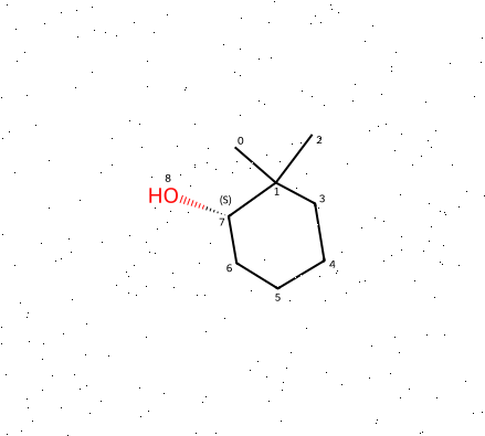 CC1(C)CCCC[C@@H]1O